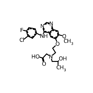 COc1cc2ncnc(Nc3ccc(F)c(Cl)c3)c2cc1OCCN(CC(=O)O)CC(C)O